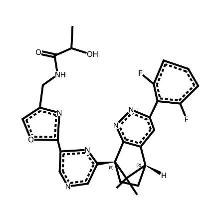 CC(O)C(=O)NCc1coc(-c2cncc([C@@]34CC[C@@H](c5cc(-c6c(F)cccc6F)nnc53)C4(C)C)n2)n1